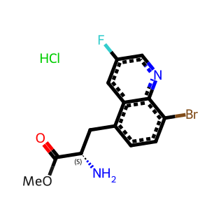 COC(=O)[C@@H](N)Cc1ccc(Br)c2ncc(F)cc12.Cl